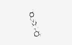 Fc1cccc(-c2nc3cnn(Cc4ccc(Br)cc4)cc-3n2)c1F